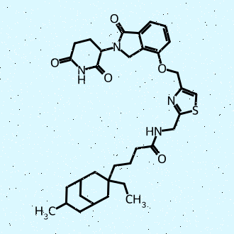 CCC1(CCCC(=O)NCc2nc(COc3cccc4c3CN(C3CCC(=O)NC3=O)C4=O)cs2)CC2CC(C)CC(C2)C1